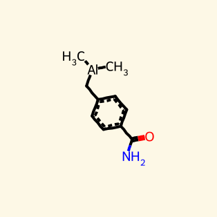 [CH3][Al]([CH3])[CH2]c1ccc(C(N)=O)cc1